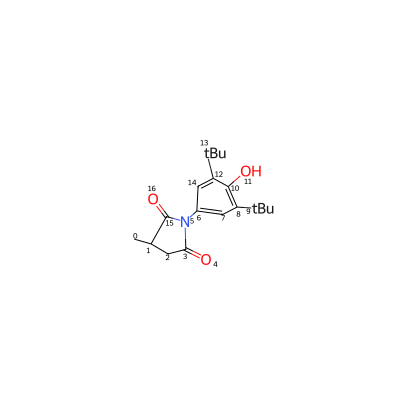 CC1CC(=O)N(c2cc(C(C)(C)C)c(O)c(C(C)(C)C)c2)C1=O